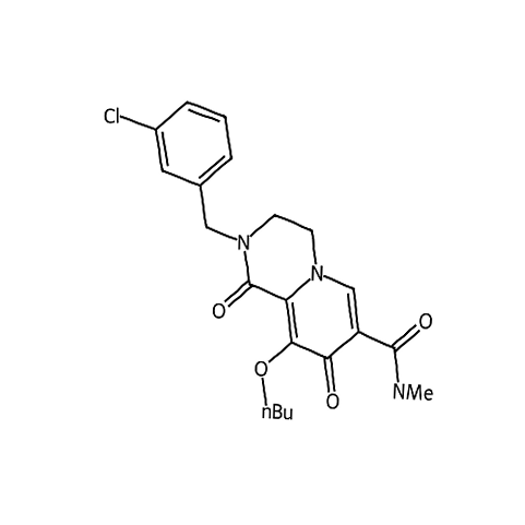 CCCCOc1c2n(cc(C(=O)NC)c1=O)CCN(Cc1cccc(Cl)c1)C2=O